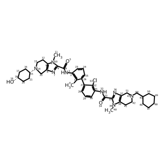 Cc1c(NC(=O)c2nc3c(n2C)CCN([C@H]2CC[C@@H](O)CC2)C3)cccc1-c1cccc(NC(=O)c2nc3c(n2C)CCN(CC2CCCCC2)C3)c1Cl